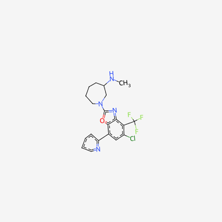 CNC1CCCCN(c2nc3c(C(F)(F)F)c(Cl)cc(-c4ccccn4)c3o2)C1